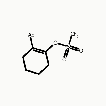 CC(=O)C1=C(OS(=O)(=O)C(F)(F)F)CCCC1